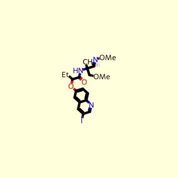 CCC(Oc1ccc2ncc(I)cc2c1)C(=O)NC(C)(/C=N/OC)COC